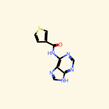 O=C(Nc1ncnc2[nH]cnc12)c1ccsc1